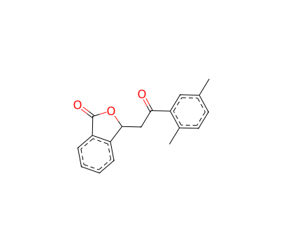 Cc1ccc(C)c(C(=O)CC2OC(=O)c3ccccc32)c1